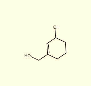 OCC1=CC(O)CCC1